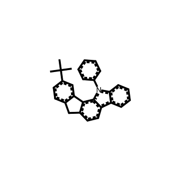 CC(C)(C)c1ccc2c(c1)-c1c(ccc3c4ccccc4n(-c4ccccc4)c13)C2